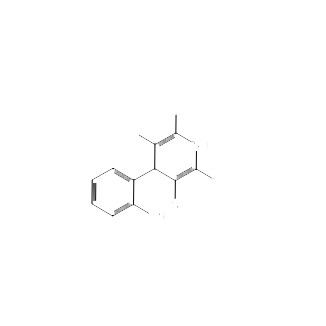 CCOC(=O)C1=C(C)NC(C)=C([N+](=O)[O-])C1c1ccccc1C#N